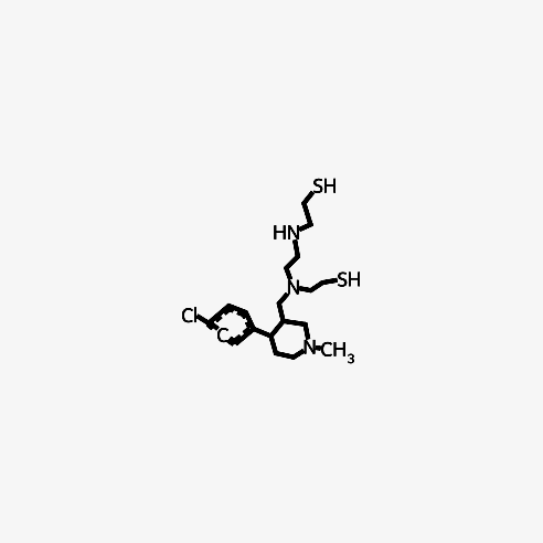 CN1CCC(c2ccc(Cl)cc2)C(CN(CCS)CCNCCS)C1